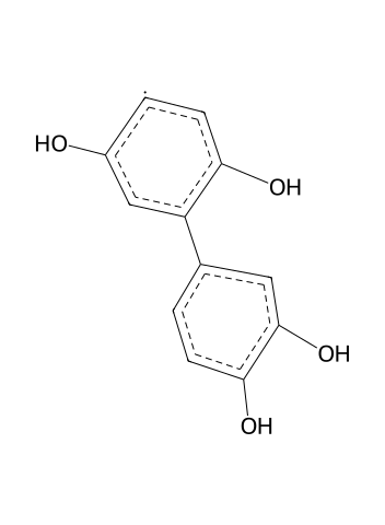 Oc1[c]cc(O)c(-c2ccc(O)c(O)c2)c1